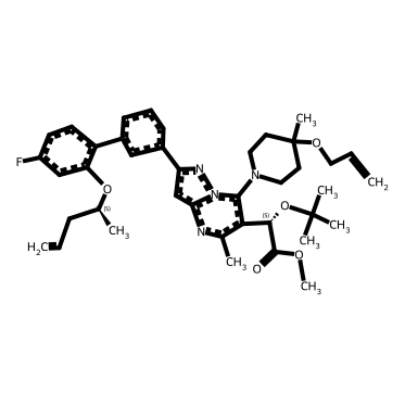 C=CCOC1(C)CCN(c2c([C@H](OC(C)(C)C)C(=O)OC)c(C)nc3cc(-c4cccc(-c5ccc(F)cc5O[C@@H](C)CC=C)c4)nn23)CC1